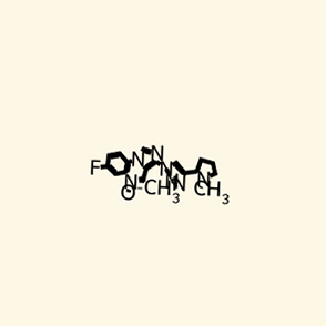 Cc1c2c(-n3cc(C4CCCN4C)nn3)ncn2c2ccc(F)cc2[n+]1[O-]